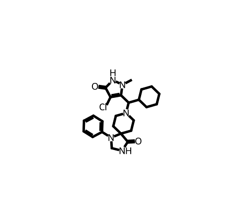 Cn1[nH]c(=O)c(Cl)c1C(C1CCCCC1)N1CCC2(CC1)C(=O)NCN2c1ccccc1